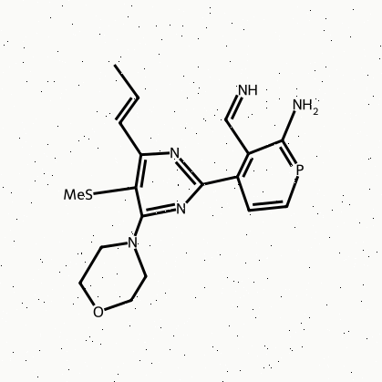 C/C=C/c1nc(-c2ccpc(N)c2C=N)nc(N2CCOCC2)c1SC